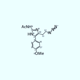 COc1ccc(-c2[nH]c(NC(C)=O)nc2CCN=[N+]=[N-])cc1